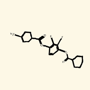 CC1CCC(C(=O)Oc2ccc(OC(=O)C3CCCCC3)c(F)c2F)CC1